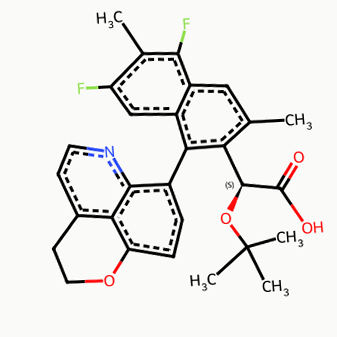 Cc1cc2c(F)c(C)c(F)cc2c(-c2ccc3c4c(ccnc24)CCO3)c1[C@H](OC(C)(C)C)C(=O)O